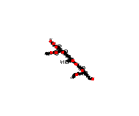 CC/C=C\CCCCOC(CCC(=O)OCCCCCCCN(CCO)CCCCCCC(=O)OCC(COC(=O)CCCCCCCC)COC(=O)CCCCCCCC)OCCCC/C=C\CC